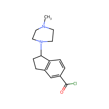 CN1CCN(C2CCc3cc(C(=O)Cl)ccc32)CC1